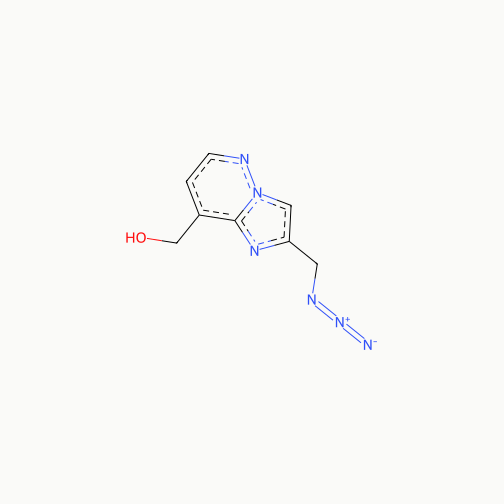 [N-]=[N+]=NCc1cn2nccc(CO)c2n1